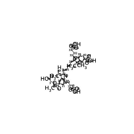 CN(OCC(=O)O)C(=O)c1cc2c([n+](CCCS(=O)(=O)O)c1)N=C(/C=C/C=C/C=C1/N(CCCS(=O)(=O)O)c3ccc(S(=O)(=O)O)cc3C1(C)C)C2(C)C